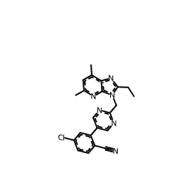 CCc1nc2c(C)cc(C)nc2n1Cc1ncc(-c2cc(Cl)ccc2C#N)cn1